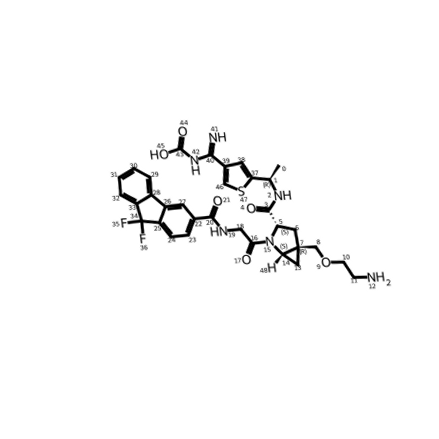 C[C@@H](NC(=O)[C@@H]1C[C@]2(COCCN)C[C@@H]2N1C(=O)CNC(=O)c1ccc2c(c1)-c1ccccc1C2(F)F)c1cc(C(=N)NC(=O)O)cs1